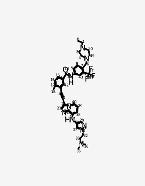 CCN1CCN(Cc2ccc(NC(=O)c3ccc(C)c(C#Cc4cnc5c(Nc6cnn(CCN(C)C)c6)cccn45)c3)cc2C(F)(F)F)CC1